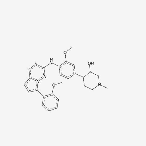 COc1cc(C2CCN(C)CC2O)ccc1Nc1ncc2ccc(-c3ccccc3OC)n2n1